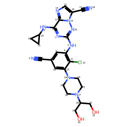 N#Cc1cc(Nc2nc(NC3CC3)c3ncc(C#N)n3n2)c(Cl)c(N2CCN(C(CO)CO)CC2)c1